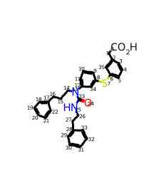 O=C(O)Cc1cccc(Sc2cccc(N(CCCc3ccccc3)C(=O)NCCc3ccccc3)c2)c1